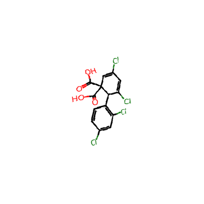 O=C(O)C1(C(=O)O)C=C(Cl)C=C(Cl)C1c1ccc(Cl)cc1Cl